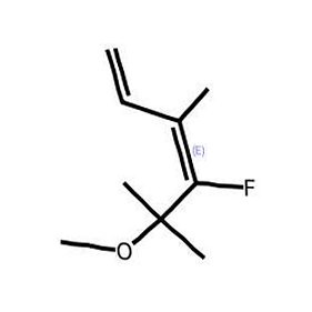 C=C/C(C)=C(/F)C(C)(C)OC